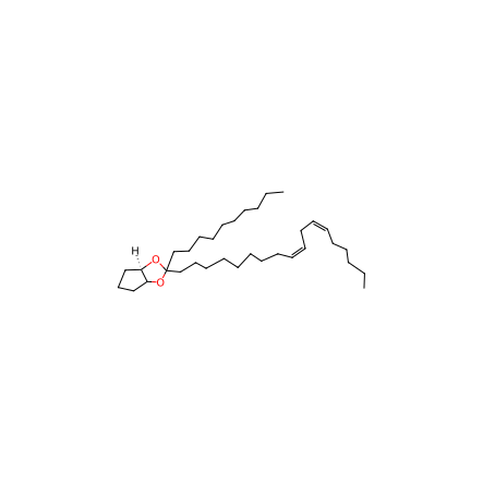 CCCCC/C=C\C/C=C\CCCCCCCCC1(CCCCCCCCCC)OC2CCC[C@H]2O1